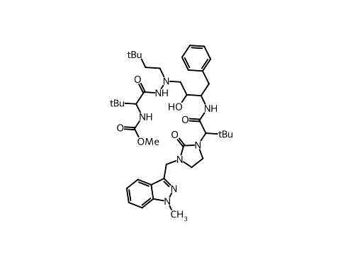 COC(=O)NC(C(=O)NN(CCC(C)(C)C)CC(O)C(Cc1ccccc1)NC(=O)C(N1CCN(Cc2nn(C)c3ccccc23)C1=O)C(C)(C)C)C(C)(C)C